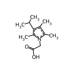 Cc1c(C(C)C)c(C)n(CC(=O)O)c1C